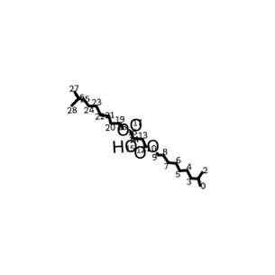 CC(C)CCCCCCCOC(=O)CC(O)C(=O)OCCCCCCCC(C)C